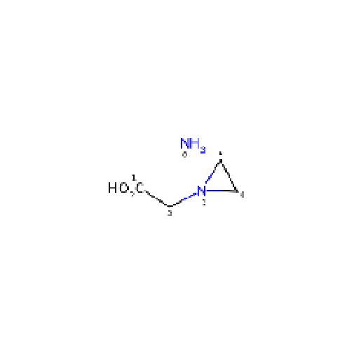 N.O=C(O)CN1CC1